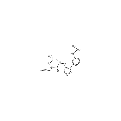 CC(=O)Nc1cccc(-c2cscc2N[C@@H](CC(C)C)C(=O)NCC#N)c1